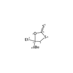 CCCCC1(CC)CSC(=S)O1